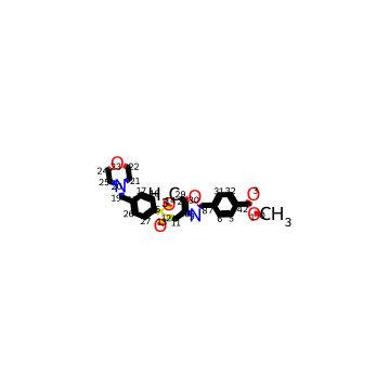 COC(=O)c1ccc(-c2nc(CS(=O)(=O)c3ccc(CN4CCOCC4)cc3)c(C)o2)cc1